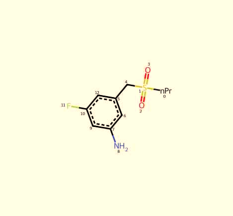 CCCS(=O)(=O)Cc1cc(N)cc(F)c1